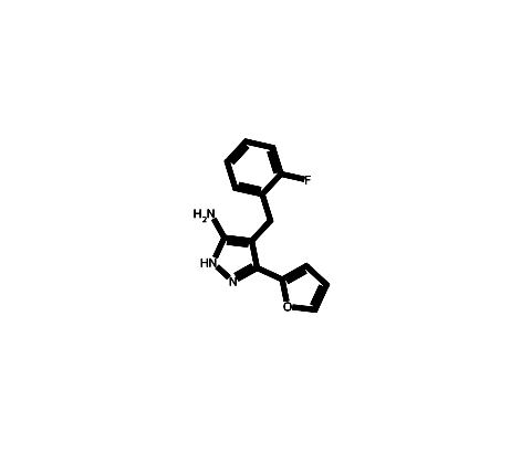 Nc1[nH]nc(-c2ccco2)c1Cc1ccccc1F